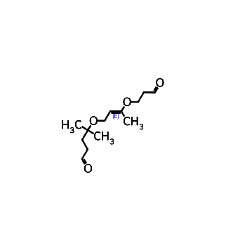 C/C(=C\COC(C)(C)CCC=O)OCCC=O